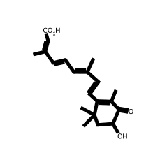 CC(C=CC1=C(C)C(=O)C(O)CC1(C)C)=CC=CC(C)=CC(=O)O